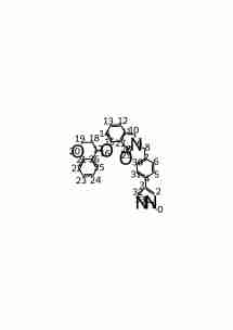 Cn1cc(-c2ccc(CN3Cc4cccc(OC5CCOc6ccccc65)c4C3=O)cc2)cn1